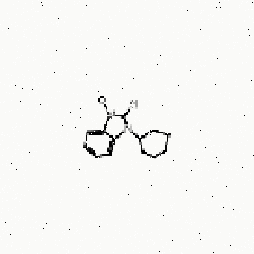 [O-][S+]1c2ccccc2N(C2CCCCC2)C1Cl